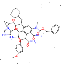 COc1ccc(CC(C(N)=O)c2c(C(N)=O)c(N(C)C(=O)OCc3ccccc3)cc([C@H](CC3CCCCC3)[C@@H](O)[C@@H](O)C3CC3)c2C(Cc2c[nH]cn2)C(N)=O)cc1